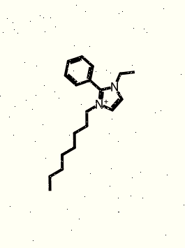 CCCCCCCC[n+]1ccn(CC)c1-c1ccccc1